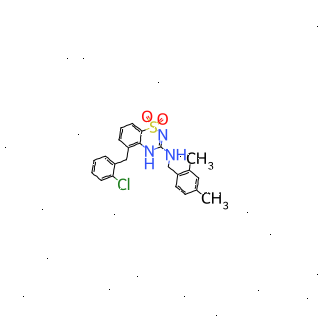 Cc1ccc(CNC2=NS(=O)(=O)c3cccc(Cc4ccccc4Cl)c3N2)c(C)c1